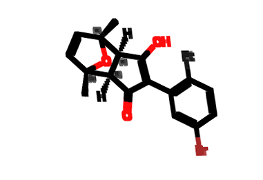 CCc1ccc(Br)cc1C1=C(O)[C@H]2[C@@H](C1=O)[C@]1(C)C=C[C@@]2(C)O1